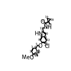 COc1ccc(COc2cc3[nH]c(CNC(=O)C4(C)CC4)cc3cc2Cl)nn1